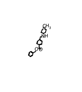 CN1CCC(NCc2ccc(C(=O)OCc3ccccc3)cc2)CC1